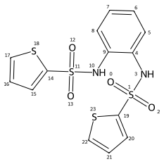 O=S(=O)(Nc1ccccc1NS(=O)(=O)c1cccs1)c1cccs1